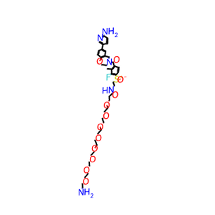 Cc1c(C(=O)N2CCOc3ccc(-c4ccc(N)nc4)cc3C2)ccc([S+]([O-])CCNC(=O)CCOCCOCCOCCOCCOCCOCCOCCOCCN)c1F